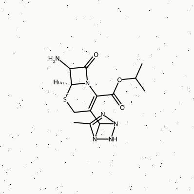 CC1=NN2NN1C2C1=C(C(=O)OC(C)C)N2C(=O)C(N)[C@@H]2SC1